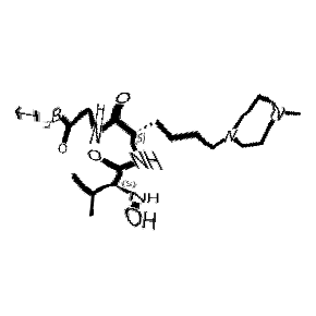 BC(=O)CNC(=O)[C@H](CCCCN1CCN(C)CC1)NC(=O)[C@@H](NO)C(C)C